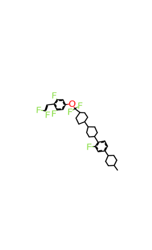 CC1CCC(c2ccc(C3CCC(C4CCC(C(F)(F)Oc5cc(F)c(C=C(F)F)c(F)c5)CC4)CC3)c(F)c2)CC1